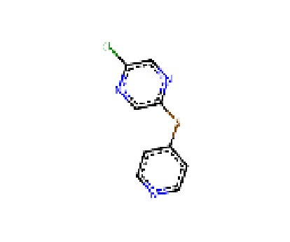 Clc1cnc(Sc2ccncc2)cn1